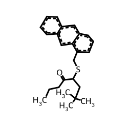 CCCC(=O)C(CC(C)(C)C)SCc1cccc2cc3ccccc3cc12